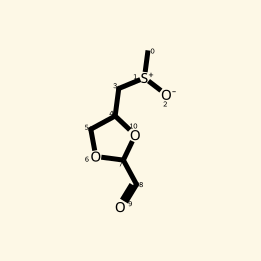 C[S+]([O-])CC1COC(C=O)O1